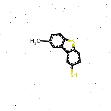 Cc1ccc2sc3ccc(S)cc3c2c1